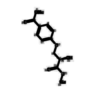 COC(=O)c1ccc(OC[C@@H](O)C(=O)OC(C)(C)C)cc1